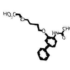 O=CC(=O)Nc1ccc(-c2ccccc2)cc1OCCCCOCC(=O)O